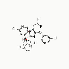 FC(F)Cn1nc(NC2[C@@H]3CC[C@H]2CN(c2cnnc(Cl)c2)C3)nc1Oc1cccc(Cl)c1